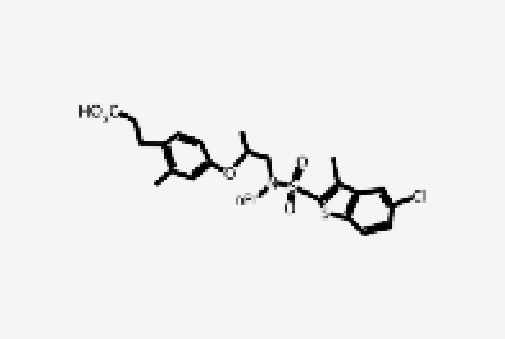 CCCN(CC(C)Oc1ccc(CCC(=O)O)c(C)c1)S(=O)(=O)c1sc2ccc(Cl)cc2c1C